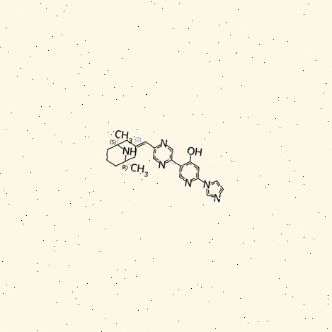 C[C@]12CCC[C@](C)(C/C(=C\c3cnc(-c4cnc(-n5ccnc5)cc4O)cn3)C1)N2